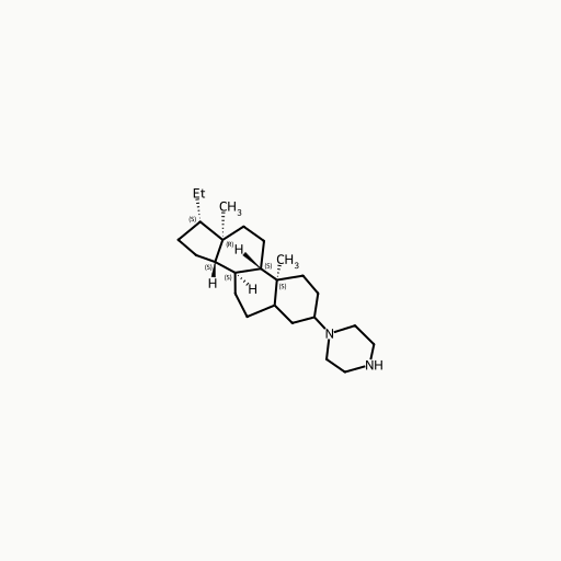 CC[C@H]1CC[C@H]2[C@@H]3CCC4CC(N5CCNCC5)CC[C@]4(C)[C@H]3CC[C@]12C